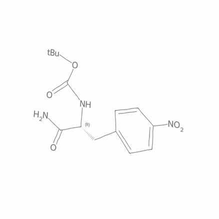 CC(C)(C)OC(=O)N[C@H](Cc1ccc([N+](=O)[O-])cc1)C(N)=O